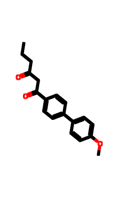 CCCC(=O)CC(=O)c1ccc(-c2ccc(OC)cc2)cc1